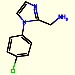 NCc1nccn1-c1ccc(Cl)cc1